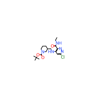 CCNC(=O)c1nnc(Cl)cc1NCC1CCCN(C(=O)OC(C)(C)C)C1